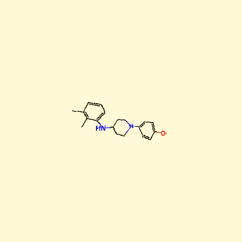 Cc1cccc(NC2CCN(c3ccc([O])cc3)CC2)c1C